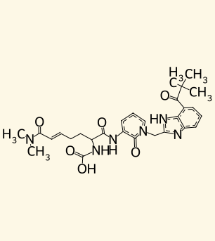 CN(C)C(=O)/C=C/CCC(NC(=O)O)C(=O)Nc1cccn(Cc2nc3cccc(C(=O)C(C)(C)C)c3[nH]2)c1=O